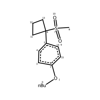 CCCCOc1ccc(C2(S(C)(=O)=O)CCC2)cc1